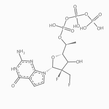 C[C@H](OP(=O)(O)OP(=O)(O)OP(=O)(O)O)[C@H]1O[C@@H](n2ccc3c(=O)[nH]c(N)nc32)[C@@](F)(CF)C1O